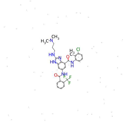 Cc1c(Cl)cccc1NC(=O)c1cc(NC(=O)c2ccccc2C(F)(F)F)cc2[nH]c(NCCCN(C)C)nc12